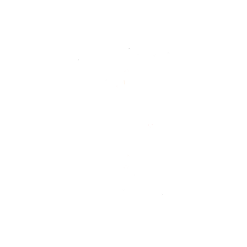 CC(COC(C)COP(Oc1ccc(C(C)(C)C)cc1C(C)(C)C)Oc1ccc(C(C)(C)C)cc1C(C)(C)C)OCC(C)OP(Oc1ccc(C(C)(C)C)cc1C(C)(C)C)Oc1ccc(C(C)(C)C)cc1C(C)(C)C